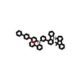 CC1(C)c2ccccc2-c2cccc(-n3c4ccccc4c4c(-c5cccc(N(c6ccc(-c7ccc(-c8ccccc8)cc7)cc6)c6ccccc6-c6ccccc6)c5)cccc43)c21